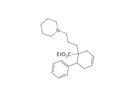 CCOC(=O)C1(CCCN2CCCCC2)CC=CCC1c1ccccc1